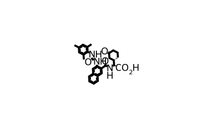 Cc1cc(C)c(NC(=O)Nc2cc3ccccc3cc2C(=O)N[C@H](C(=O)O)[C@H]2CCCC(=O)C2)c(C)c1